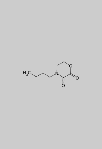 CCCCN1CCOC(=O)C1=O